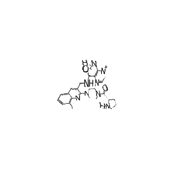 C=N/C(N)=C(\N=C/C)C(=O)NCc1cc2cccc(C)c2nc1N(C)CCN(C)C(=O)[C@@H]1CCCN1